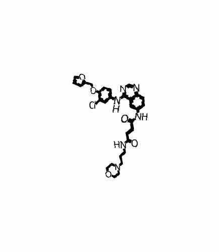 O=C(C=CC(=O)Nc1ccc2ncnc(Nc3ccc(OCc4ccco4)c(Cl)c3)c2c1)NCCCN1CCOCC1